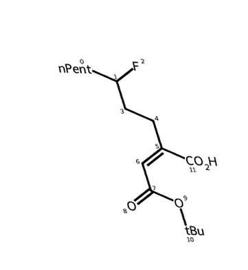 CCCCCC(F)CCC(=CC(=O)OC(C)(C)C)C(=O)O